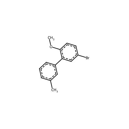 COc1ccc(Br)cc1-c1cc[c]c(C)c1